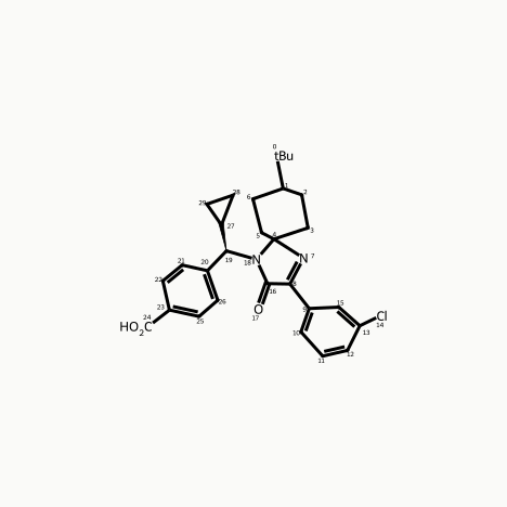 CC(C)(C)C1CCC2(CC1)N=C(c1cccc(Cl)c1)C(=O)N2[C@@H](c1ccc(C(=O)O)cc1)C1CC1